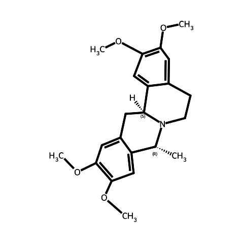 COc1cc2c(cc1OC)[C@@H](C)N1CCc3cc(OC)c(OC)cc3[C@@H]1C2